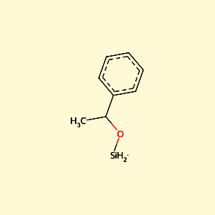 CC(O[SiH2])c1ccccc1